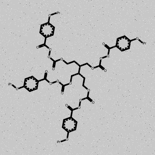 CC(C)Oc1ccc(C(=O)OOC(=O)OCCC(COC(=O)OOC(=O)c2ccc(OC(C)C)cc2)C(CCOC(=O)OOC(=O)c2ccc(OC(C)C)cc2)COC(=O)OOC(=O)c2ccc(OC(C)C)cc2)cc1